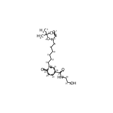 CC(C)(C)ON(C=O)CCCCCCn1cc(C(=O)NCCO)ccc1=O